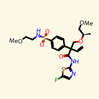 C=CC(CO[C@H](C)COC)(C(=O)Nc1ncc(F)s1)c1ccc(S(=O)(=O)NCCOC)cc1